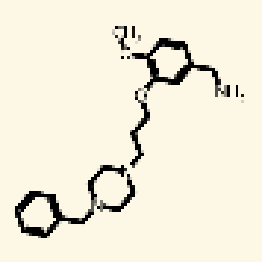 COc1ccc(CN)cc1OCCCN1CCN(Cc2ccccc2)CC1